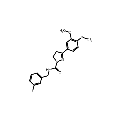 COc1ccc(C2=NN(C(=O)NCc3cccc(F)c3)CC2)cc1OC